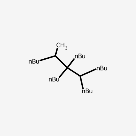 CCCC[C](CCCC)C(CCCC)(CCCC)C(C)CCCC